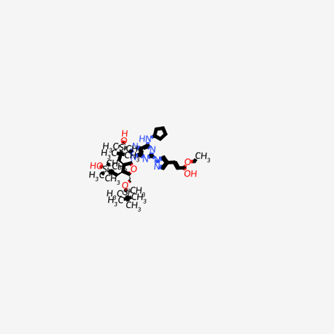 CCOC(O)/C=C/c1cnn(-c2nc(NC3CCCC3)c3ncn([C@@H]4O[C@H](CO[Si](C)(C)C(C)(C)C)[C@@H](CC(C)(C)[Si](C)(C)O)[C@H]4CC(C)(C)[Si](C)(C)O)c3n2)c1